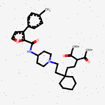 COC(=O)C(CCC1(CCN2CCC(NC(=O)c3occc3-c3ccc(C)cc3)CC2)CCCCC1)C(=O)OC